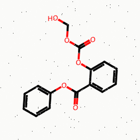 O=C(OCO)Oc1ccccc1C(=O)Oc1ccccc1